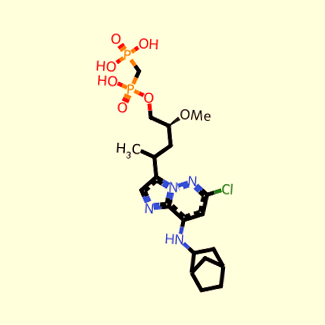 CO[C@H](COP(=O)(O)CP(=O)(O)O)CC(C)c1cnc2c(NC3CC4CCC3C4)cc(Cl)nn12